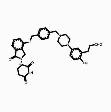 N#Cc1ccc(N2CCN(Cc3ccc(COc4cccc5c4CN([C@H]4CCC(=O)NC4=O)C5=O)cc3)CC2)cc1CCC=O